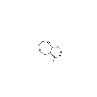 Cc1cccc2c1CC=CCO2